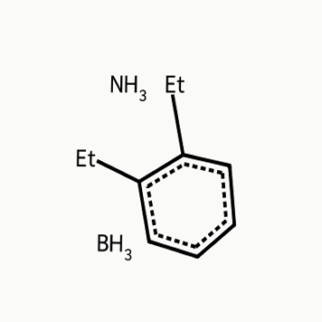 B.CCc1ccccc1CC.N